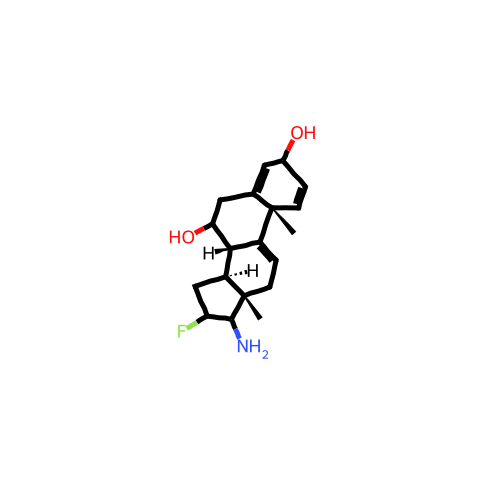 C[C@]12C=CC(O)C=C1CC(O)[C@@H]1C2=CC[C@]2(C)C(N)C(F)C[C@@H]12